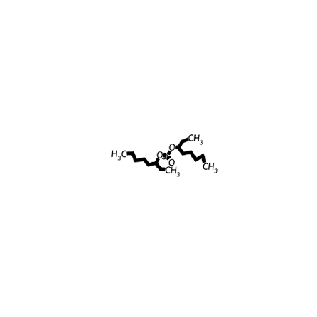 CCCCCC(CC)O[Si](=O)OC(CC)CCCCC